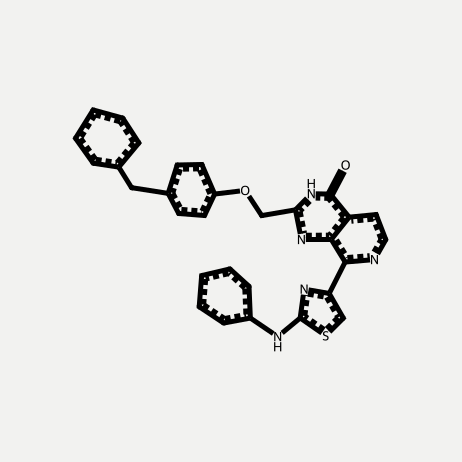 O=c1[nH]c(COc2ccc(Cc3ccccc3)cc2)nc2c(-c3csc(Nc4ccccc4)n3)nccc12